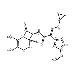 CSC1=C(C(=O)O)N2C(=O)[C@@H](NC(=O)C(=NOC3CC3)c3csc(NC=O)n3)[C@@H]2SC1